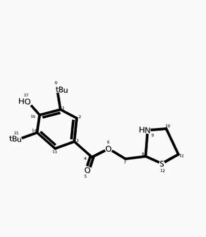 CC(C)(C)c1cc(C(=O)OCC2NCCS2)cc(C(C)(C)C)c1O